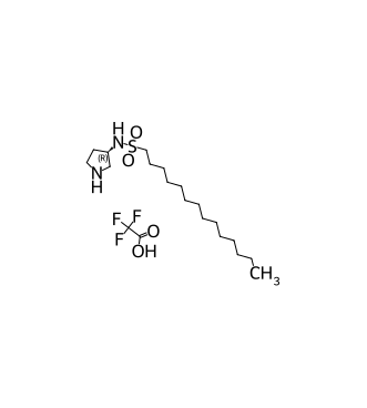 CCCCCCCCCCCCCCS(=O)(=O)N[C@@H]1CCNC1.O=C(O)C(F)(F)F